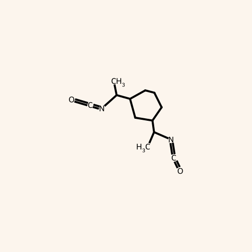 CC(N=C=O)C1CCCC(C(C)N=C=O)C1